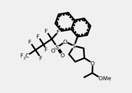 COC(C)OC1CCS(OS(=O)(=O)C(F)(F)C(F)(F)C(F)(F)C(F)(F)F)(c2cccc3ccccc23)C1